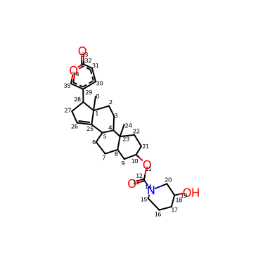 CC12CCC3C(CCC4CC(OC(=O)N5CCCC(O)C5)CCC43C)C1=CCC2c1ccc(=O)oc1